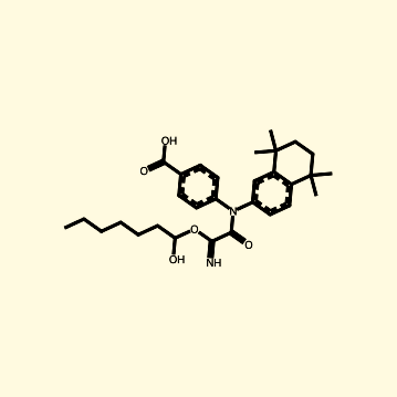 CCCCCCC(O)OC(=N)C(=O)N(c1ccc(C(=O)O)cc1)c1ccc2c(c1)C(C)(C)CCC2(C)C